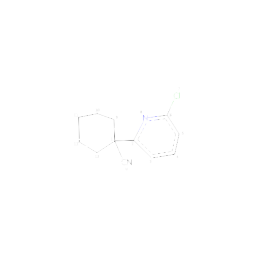 N#CC1(c2cccc(Cl)n2)CCCCC1